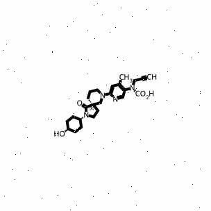 C#CCN(C(=O)O)c1cnc(N2CCC[C@@]3(CCN([C@H]4CC[C@H](O)CC4)C3=O)C2)cc1C